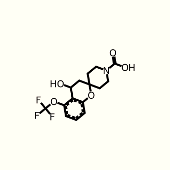 O=C(O)N1CCC2(CC1)CC(O)c1c(OC(F)(F)F)cccc1O2